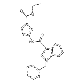 CCOC(=O)c1cnc(NC(=O)c2cn(Cc3ccccn3)c3ccccc23)s1